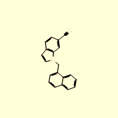 N#Cc1ccc2ccn(Cc3cccc4ccccc34)c2c1